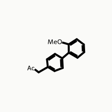 COc1ccccc1-c1ccc(CC(C)=O)cc1